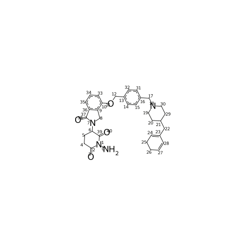 NN1C(=O)CCC(N2Cc3c(OCc4ccc(CN5CCC(CC6=CCCC=C6)CC5)cc4)cccc3C2=O)C1=O